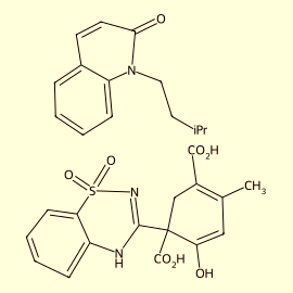 CC(C)CCn1c(=O)ccc2ccccc21.CC1=C(C(=O)O)CC(C(=O)O)(C2=NS(=O)(=O)c3ccccc3N2)C(O)=C1